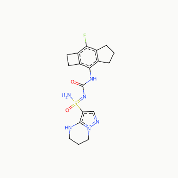 NS(=O)(=NC(=O)Nc1c2c(c(F)c3c1CC3)CCC2)c1cnn2c1NCCC2